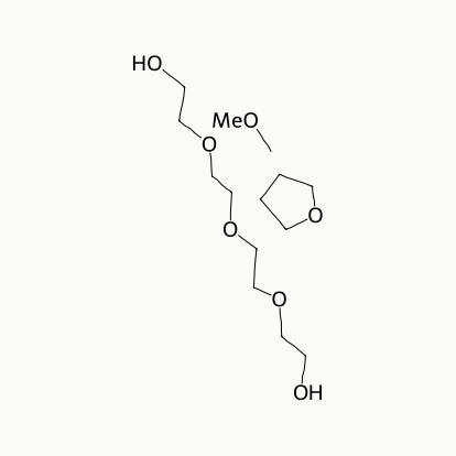 C1CCOC1.COC.OCCOCCOCCOCCO